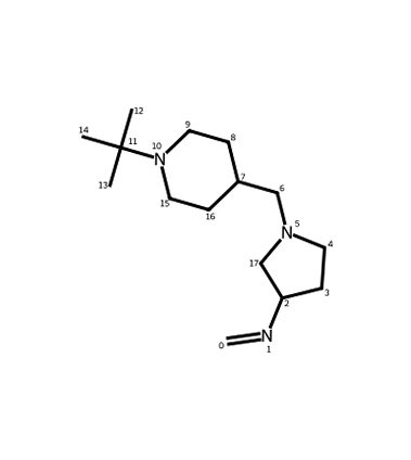 C=NC1CCN(CC2CCN(C(C)(C)C)CC2)C1